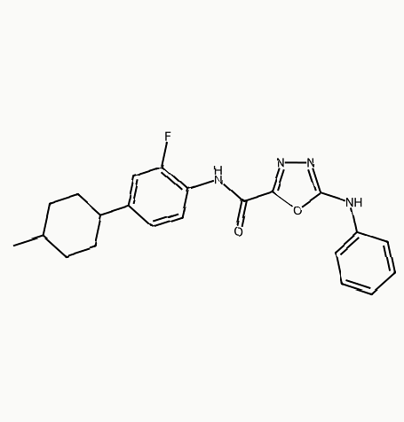 CC1CCC(c2ccc(NC(=O)c3nnc(Nc4ccccc4)o3)c(F)c2)CC1